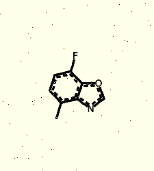 Cc1ccc(F)c2ocnc12